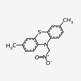 Cc1ccc2c(c1)Sc1cc(C)ccc1N2C[N+](=O)[O-]